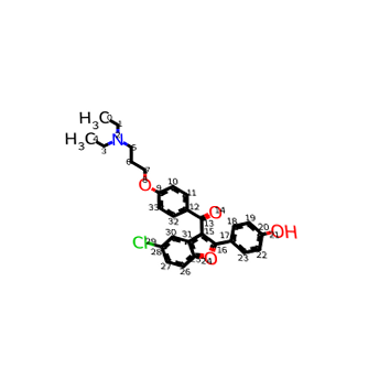 CCN(CC)CCCOc1ccc(C(=O)c2c(-c3ccc(O)cc3)oc3ccc(Cl)cc23)cc1